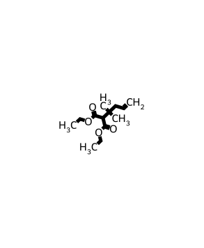 C=CCC(C)(C)C(C(=O)OCC)C(=O)OCC